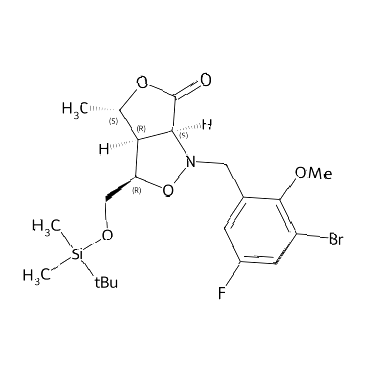 COc1c(Br)cc(F)cc1CN1O[C@@H](CO[Si](C)(C)C(C)(C)C)[C@H]2[C@H](C)OC(=O)[C@H]21